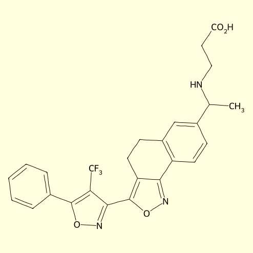 CC(NCCC(=O)O)c1ccc2c(c1)CCc1c-2noc1-c1noc(-c2ccccc2)c1C(F)(F)F